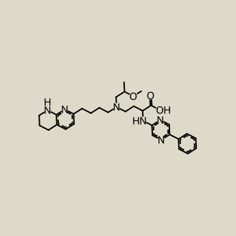 COC(C)CN(CCCCc1ccc2c(n1)NCCC2)CCC(Nc1cnc(-c2ccccc2)cn1)C(=O)O